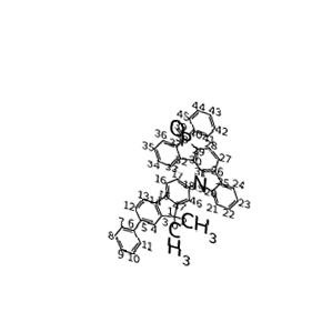 CC1(C)c2cc(-c3ccccc3)ccc2-c2ccc(-n3c4ccccc4c4ccc5c(c43)-c3ccccc3P5(=O)c3ccccc3)cc21